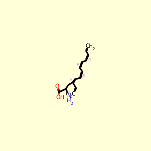 C=C\C=C/C=C\C=C/C=C(\C=C)CC(N)C(=O)O